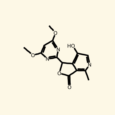 COc1cc(OC)nc(C2OC(=O)c3c(C)ncc(O)c32)n1